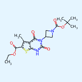 CCOC(=O)c1sc2[nH]c(=O)n(C3CN(C(=O)OC(C)(C)C)C3)c(=O)c2c1C